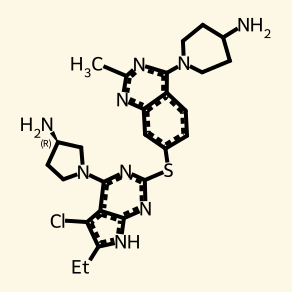 CCc1[nH]c2nc(Sc3ccc4c(N5CCC(N)CC5)nc(C)nc4c3)nc(N3CC[C@@H](N)C3)c2c1Cl